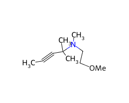 CC#CC(C)(C)N(C)CCOC